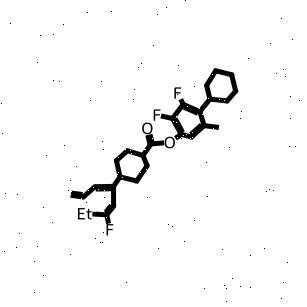 C=C/C=C(\C=C(\F)CC)C1CCC(C(=O)Oc2cc(C)c(C3CCCCC3)c(F)c2F)CC1